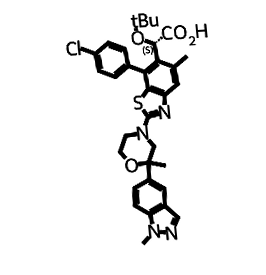 Cc1cc2nc(N3CCOC(C)(c4ccc5c(cnn5C)c4)C3)sc2c(-c2ccc(Cl)cc2)c1[C@H](OC(C)(C)C)C(=O)O